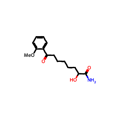 COc1ccccc1C(=O)CCCCCC(O)C(N)=O